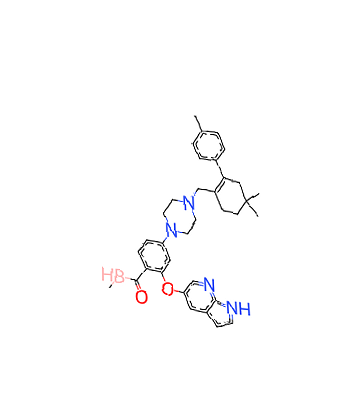 CBC(=O)c1ccc(N2CCN(CC3=C(c4ccc(C)cc4)CC(C)(C)CC3)CC2)cc1Oc1cnc2[nH]ccc2c1